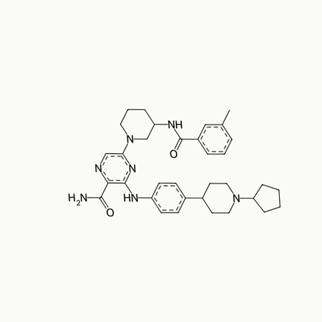 Cc1cccc(C(=O)NC2CCCN(c3cnc(C(N)=O)c(Nc4ccc(C5CCN(C6CCCC6)CC5)cc4)n3)C2)c1